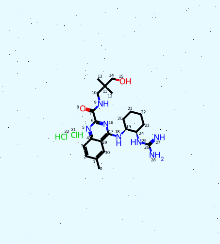 Cc1ccc2nc(C(=O)NCC(C)(C)CO)nc(N[C@H]3CCCC[C@H]3NC(=N)N)c2c1.Cl.Cl